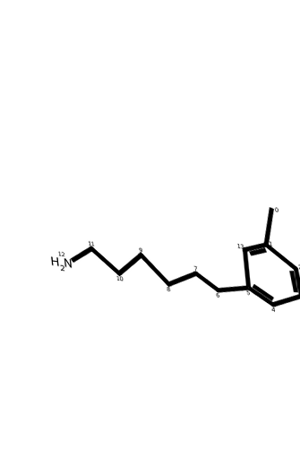 Cc1cccc(CCCCCCN)c1